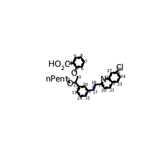 CCCCCOC(COc1ccccc1C(=O)O)c1cccc(/C=C/c2ccc3ccc(Cl)cc3n2)c1